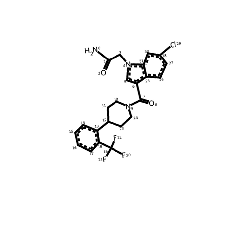 NC(=O)Cn1cc(C(=O)N2CCC(c3ccccc3C(F)(F)F)CC2)c2ccc(Cl)cc21